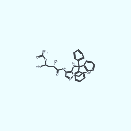 CC(C)(C)C(C[C@H](O)C(=O)Nc1cnn(CCO)c1NC(c1ccccc1)(c1ccccc1)c1ccccc1)OC(N)=O